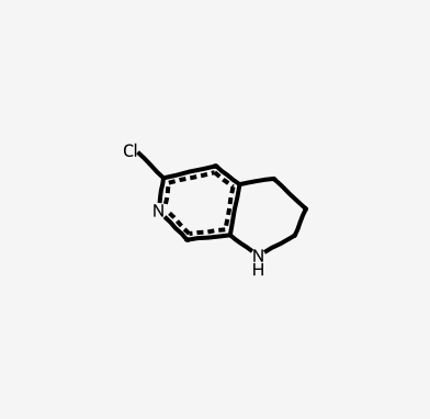 Clc1cc2c(cn1)NCCC2